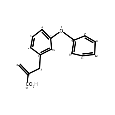 C=C(Cc1cccc(Oc2ccccc2)c1)C(=O)O